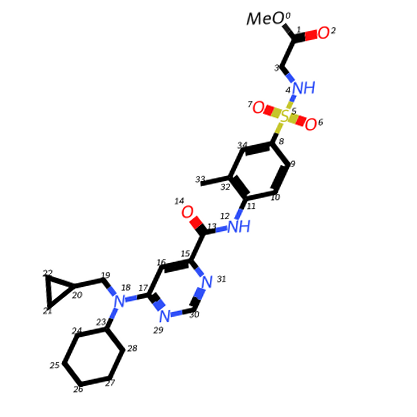 COC(=O)CNS(=O)(=O)c1ccc(NC(=O)c2cc(N(CC3CC3)C3CCCCC3)ncn2)c(C)c1